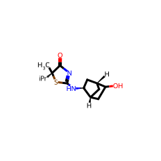 CC(C)[C@]1(C)SC(N[C@H]2C[C@H]3C[C@@H]2CC3O)=NC1=O